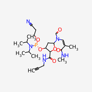 C#CCNC(=O)C1OC(N(C=O)/C=C(/C)C(=O)NC)CC1OP(OCCC#N)N(C(C)C)C(C)C